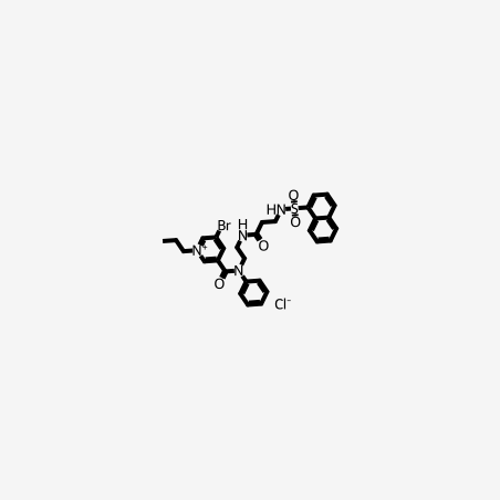 CCC[n+]1cc(Br)cc(C(=O)N(CCNC(=O)CCNS(=O)(=O)c2cccc3ccccc23)c2ccccc2)c1.[Cl-]